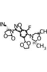 C[C@@H]1CN(c2c(C3OCCO3)cc3c(N4C(=O)OC[C@@H]4C=N)noc3c2F)C[C@@H](C)O1